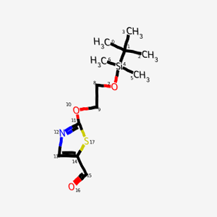 CC(C)(C)[Si](C)(C)OCCOc1ncc(C=O)s1